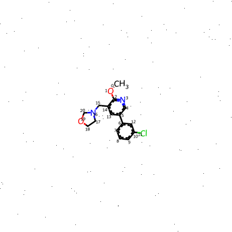 COc1ncc(-c2cccc(Cl)c2)cc1CN1CCOC1